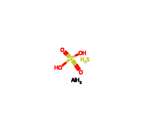 O=S(=O)(O)O.S.[AlH3]